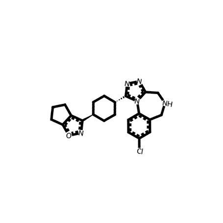 Clc1ccc2c(c1)CNCc1nnc([C@H]3CC[C@H](c4noc5c4CCC5)CC3)n1-2